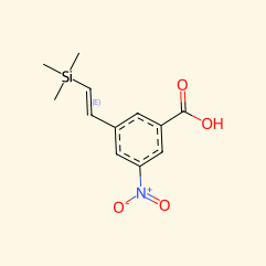 C[Si](C)(C)/C=C/c1cc(C(=O)O)cc([N+](=O)[O-])c1